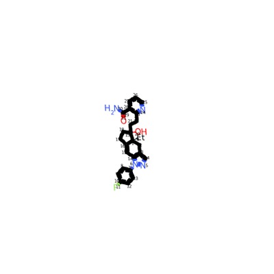 CC[C@]12Cc3cnn(-c4ccc(F)cc4)c3C=C1CC[C@@]2(O)CCc1ncccc1C(N)=O